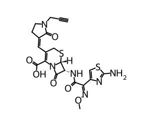 C#CCN1CCC(=CC2=C(C(=O)O)N3C(=O)[C@@H](NC(=O)/C(=N\OC)c4csc(N)n4)[C@H]3SC2)C1=O